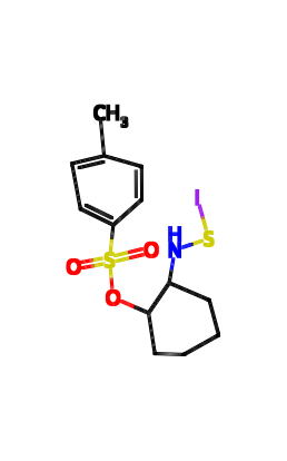 Cc1ccc(S(=O)(=O)OC2CCCCC2NSI)cc1